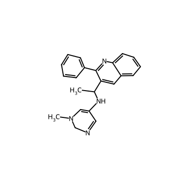 CC(NC1=CN(C)CN=C1)c1cc2ccccc2nc1-c1ccccc1